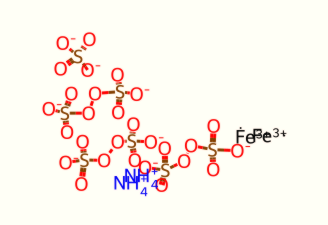 O=S(=O)([O-])OOS(=O)(=O)[O-].O=S(=O)([O-])OOS(=O)(=O)[O-].O=S(=O)([O-])OOS(=O)(=O)[O-].O=S(=O)([O-])[O-].[Fe+3].[Fe+3].[NH4+].[NH4+]